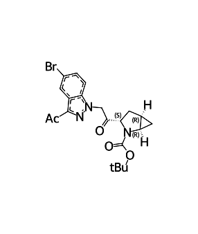 CC(=O)c1nn(CC(=O)[C@@H]2C[C@H]3C[C@H]3N2C(=O)OC(C)(C)C)c2ccc(Br)cc12